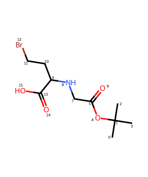 CC(C)(C)OC(=O)CNC(CCBr)C(=O)O